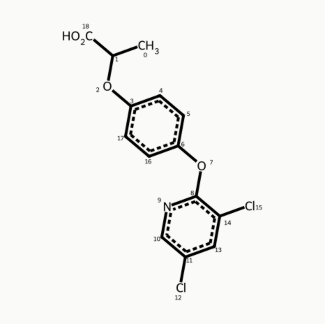 CC(Oc1ccc(Oc2ncc(Cl)cc2Cl)cc1)C(=O)O